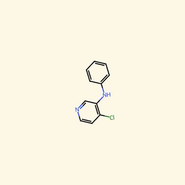 Clc1ccncc1Nc1ccccc1